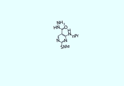 CCCNc1nc(SC)ncc1C(=O)NN